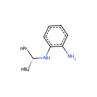 CCCC[C@H](CCC)Nc1ccccc1N